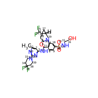 Cc1cc(NC(=O)c2ccc(S(=O)(=O)NCCO)cc2N2CC[C@]3(C(F)F)C[C@@H]3C2)nc(N2CCC(F)(F)CC2)n1